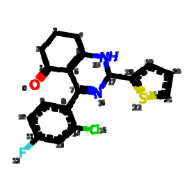 O=C1CCCC2=C1C(c1ccc(F)cc1Cl)=NC(c1cccs1)N2